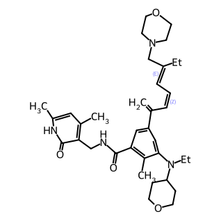 C=C(/C=C\C=C(/CC)CN1CCOCC1)c1cc(C(=O)NCc2c(C)cc(C)[nH]c2=O)c(C)c(N(CC)C2CCOCC2)c1